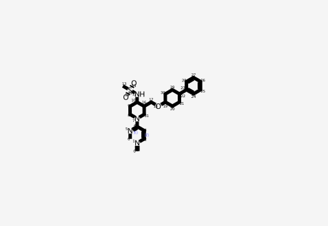 C=N/C=C\C(=N/C)N1CCC(NS(C)(=O)=O)C(COC2CCC(c3ccccc3)CC2)C1